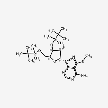 CSc1nn([C@@H]2O[C@@H](CO[Si](C)(C)C(C)(C)C)[C@@H](O[Si](C)(C)C(C)(C)C)[C@@H]2F)c2ncnc(N)c12